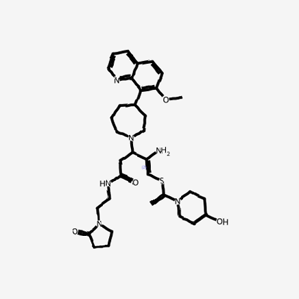 C=C(S/C=C(\N)C(CC(=O)NCCN1CCCC1=O)N1CCCC(c2c(OC)ccc3cccnc23)CC1)N1CCC(O)CC1